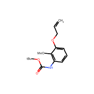 C=CCOc1cccc(NC(=O)OC(C)(C)C)c1OC